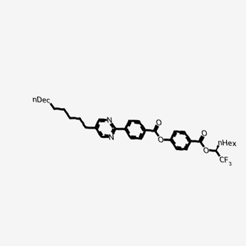 CCCCCCCCCCCCCCCc1cnc(-c2ccc(C(=O)Oc3ccc(C(=O)O[C@@H](CCCCCC)C(F)(F)F)cc3)cc2)nc1